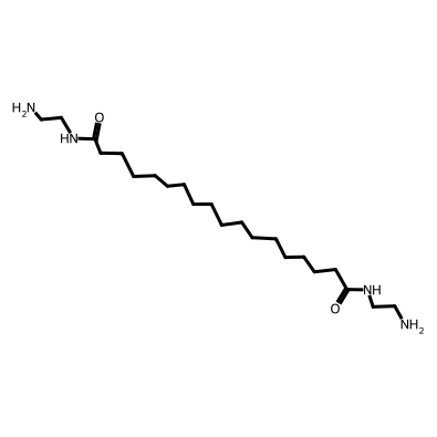 NCCNC(=O)CCCCCCCCCCCCCCCCC(=O)NCCN